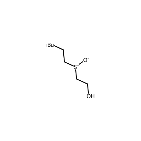 CCC(C)CC[S+]([O-])CCO